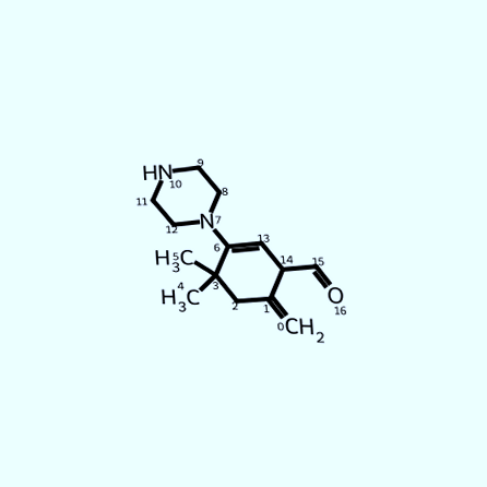 C=C1CC(C)(C)C(N2CCNCC2)=CC1C=O